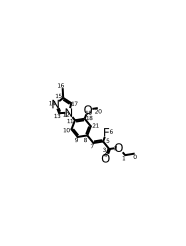 CCOC(=O)/C(F)=C/c1ccc(-n2cnc(C)c2)c(OC)c1